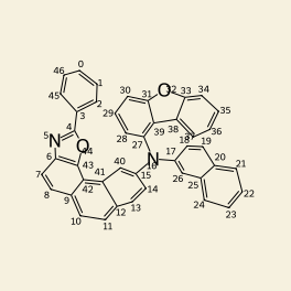 c1ccc(-c2nc3ccc4ccc5ccc(N(c6ccc7ccccc7c6)c6cccc7oc8ccccc8c67)cc5c4c3o2)cc1